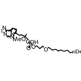 CCCCCCCCCCCCCCCCCCOCCCOP(=O)(O)OC[C@](C)(CCc1ccc2c(N)ncnn12)OC